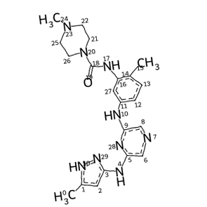 Cc1cc(Nc2cncc(Nc3ccc(C)c(NC(=O)N4CCN(C)CC4)c3)n2)n[nH]1